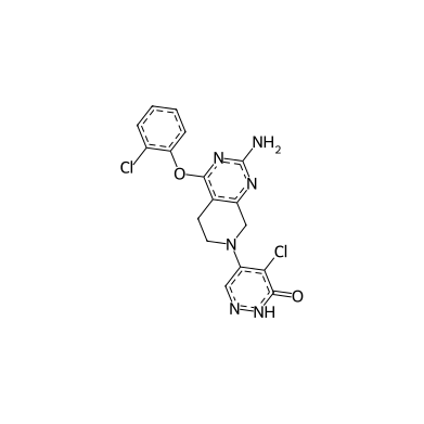 Nc1nc2c(c(Oc3ccccc3Cl)n1)CCN(c1cn[nH]c(=O)c1Cl)C2